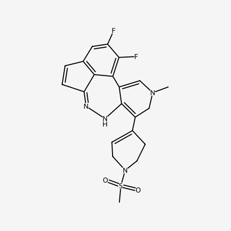 CN1C=C2C(=C(C3=CCN(S(C)(=O)=O)CC3)C1)NN=C1C=Cc3cc(F)c(F)c2c31